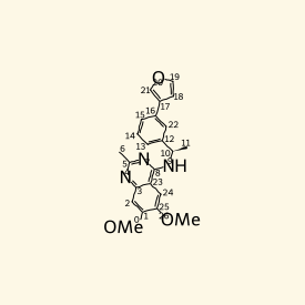 COc1cc2nc(C)nc(N[C@H](C)c3cccc(-c4ccoc4)c3)c2cc1OC